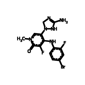 Cn1cc(N2CN=C(N)N2)c(Nc2ccc(Br)cc2F)c(F)c1=O